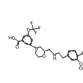 COc1cc(CCNC[C@@H]2CN(c3cc(OC(F)(F)F)cc(C(=O)O)c3)CCO2)ccc1F